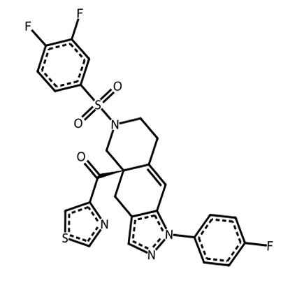 O=C(c1cscn1)[C@]12Cc3cnn(-c4ccc(F)cc4)c3C=C1CCN(S(=O)(=O)c1ccc(F)c(F)c1)C2